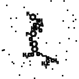 CCN(CC)CCCOc1cc2ccc(Oc3ccc(NC(=O)C4(C(=O)Nc5ccc(F)cc5)CC4)cc3F)nc2cc1OC